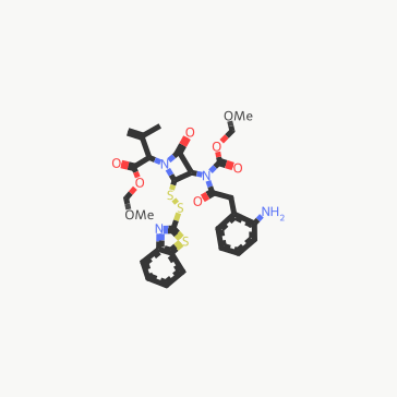 C=C(C)C(C(=O)OCOC)N1C(=O)C(N(C(=O)Cc2ccccc2N)C(=O)OCOC)C1SSc1nc2ccccc2s1